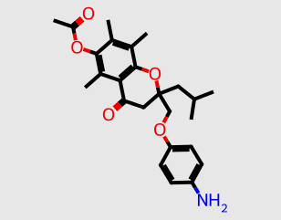 CC(=O)Oc1c(C)c(C)c2c(c1C)C(=O)CC(COc1ccc(N)cc1)(CC(C)C)O2